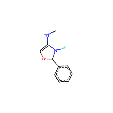 CNC1=COC(c2ccccc2)N1F